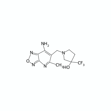 Cc1nc2nonc2c(N)c1CN1CCC(O)(C(F)(F)F)C1